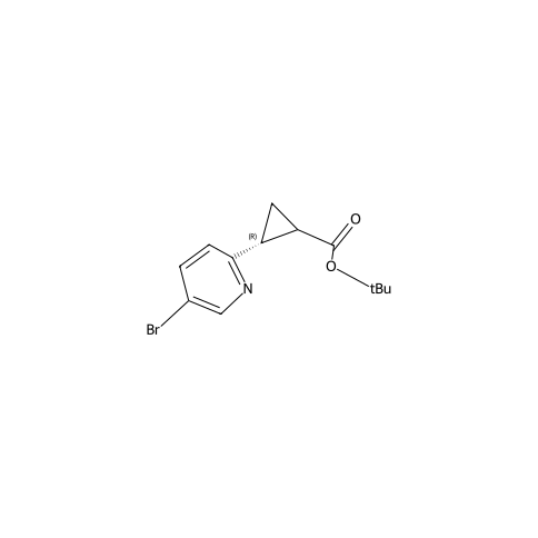 CC(C)(C)OC(=O)C1C[C@H]1c1ccc(Br)cn1